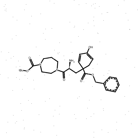 CC(C)(C)OC(=O)N1CCCN(C(=O)[C@@H](N)CC2(C(=O)OCc3ccccc3)C=CC(O)=CC2)CC1